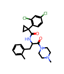 Cc1ccccc1CC(NC(=O)C1(c2ccc(Cl)cc2Cl)CC1)C(=O)N1CCN(C)CC1